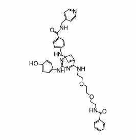 O=C(NCCOCCOCCNC1=NC(Nc2ccc(O)cc2)=NC2(Nc3ccc(C(=O)NCc4ccncc4)cc3)C=C1C2)c1ccccc1